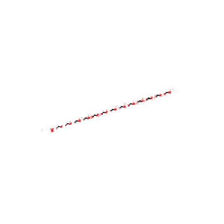 CCC(C)C(=O)OCCCOCCCOCCCOCCCOCCCOCCCOCCCOCCCOCCCOCCCOCCCOCCCOCCCO